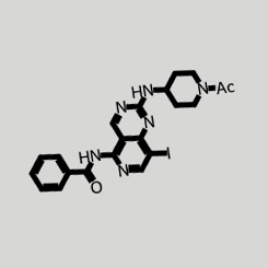 CC(=O)N1CCC(Nc2ncc3c(NC(=O)c4ccccc4)ncc(I)c3n2)CC1